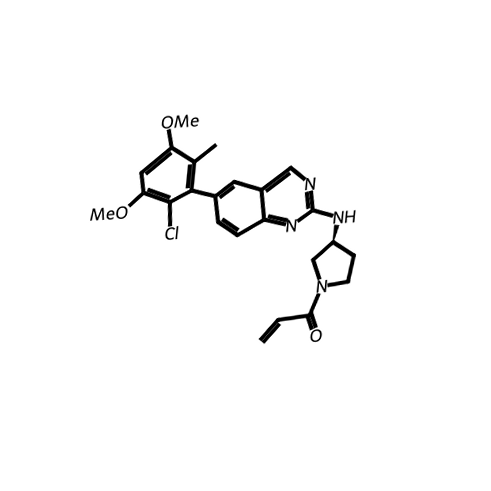 C=CC(=O)N1CC[C@H](Nc2ncc3cc(-c4c(C)c(OC)cc(OC)c4Cl)ccc3n2)C1